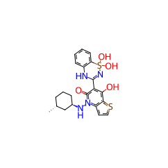 C[C@@H]1CCC[C@@H](Nn2c(=O)c(C3=NS(O)(O)c4ccccc4N3)c(O)c3sccc32)C1